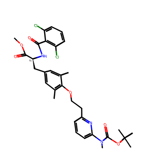 COC(=O)[C@H](Cc1cc(C)c(OCCc2cccc(N(C)C(=O)OC(C)(C)C)n2)c(C)c1)NC(=O)c1c(Cl)cccc1Cl